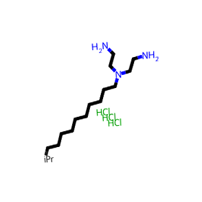 CC(C)CCCCCCCCCCN(CCN)CCN.Cl.Cl.Cl